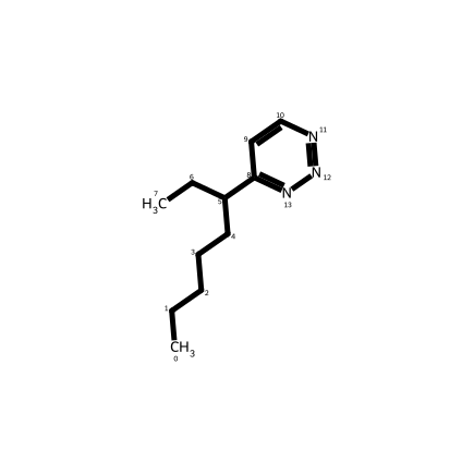 CCCCCC(CC)c1ccnnn1